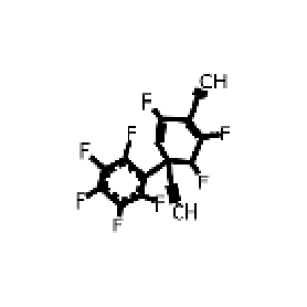 C#CC1=C(F)C(F)C(C#C)(c2c(F)c(F)c(F)c(F)c2F)C=C1F